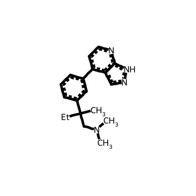 CCC(C)(CN(C)C)c1cccc(-c2ccnc3[nH]ncc23)c1